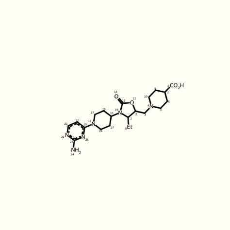 CCC1C(CN2CCC(C(=O)O)CC2)OC(=O)N1C1CCN(c2ccnc(N)n2)CC1